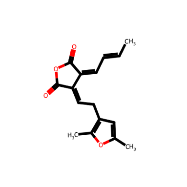 CC=C/C=C1\C(=O)OC(=O)\C1=C\Cc1cc(C)oc1C